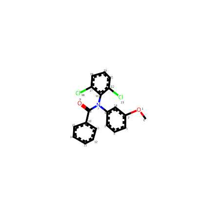 COc1cccc(N(C(=O)c2ccccc2)c2c(Cl)cccc2Cl)c1